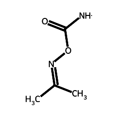 CC(C)=NOC([NH])=O